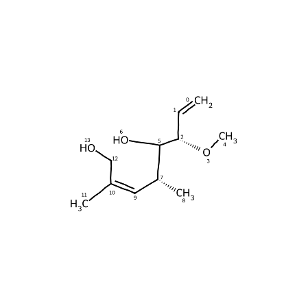 C=C[C@H](OC)C(O)[C@H](C)/C=C(/C)CO